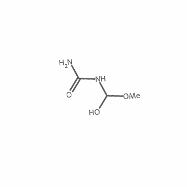 COC(O)NC(N)=O